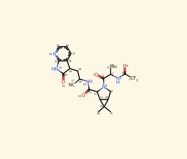 CC(C)(C)C(NC(=O)C(F)(F)F)C(=O)N1CC2C(C1C(=O)NC(C#N)CC1C(=O)Nc3ncccc31)C2(C)C